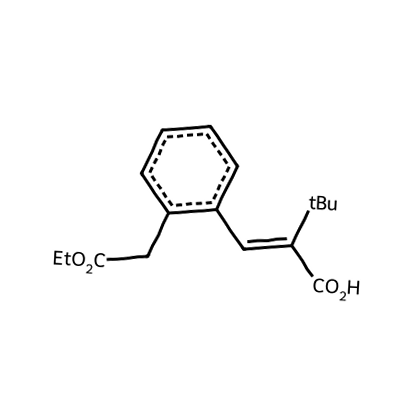 CCOC(=O)Cc1ccccc1/C=C(/C(=O)O)C(C)(C)C